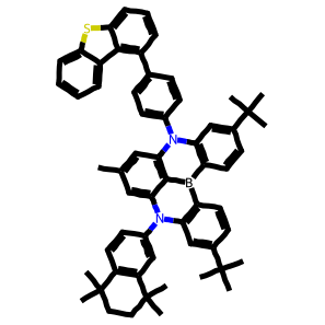 Cc1cc2c3c(c1)N(c1ccc4c(c1)C(C)(C)CCC4(C)C)c1cc(C(C)(C)C)ccc1B3c1ccc(C(C)(C)C)cc1N2c1ccc(-c2cccc3sc4ccccc4c23)cc1